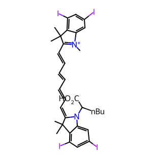 CCCCC(C(=O)O)N1\C(=C/C=C/C=C/C=C/C2=[N+](C)c3cc(I)cc(I)c3C2(C)C)C(C)(C)c2c(I)cc(I)cc21